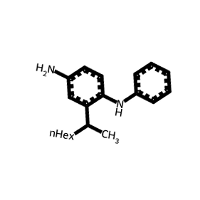 CCCCCCC(C)c1cc(N)ccc1Nc1ccccc1